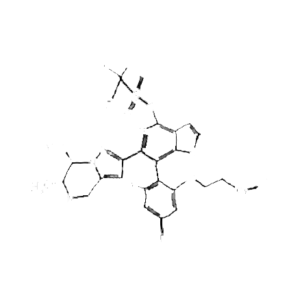 COCCOc1cc(F)cc(F)c1-c1c(-c2cc3n(n2)[C@H](C)[C@@H](C)NC3)nc(OS(=O)(=O)C(F)(F)F)c2ccsc12